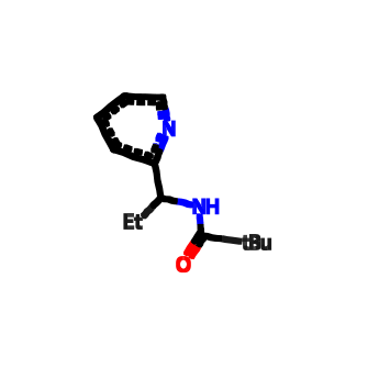 CCC(NC(=O)C(C)(C)C)c1ccccn1